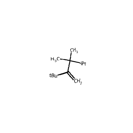 C=C(C(C)(C)C)C(C)(C)C(C)C